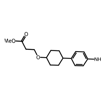 COC(=O)CCOC1CCC(c2ccc(N)cc2)CC1